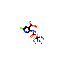 CC(C)(C)OC(=O)Nc1cnc(F)cc1C(=O)O